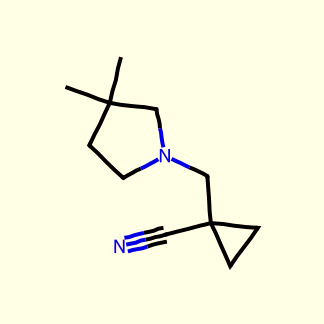 CC1(C)CCN(CC2(C#N)CC2)C1